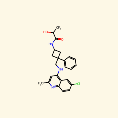 O=C(NC1CC(CNc2cc(C(F)(F)F)nc3ccc(Cl)cc23)(c2ccccc2)C1)C(O)C(F)(F)F